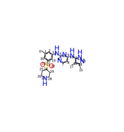 Cc1cc(Nc2nccc(Nc3[nH]nc(C)c3C)n2)cc(S(=O)(=O)C2CCNCC2)c1